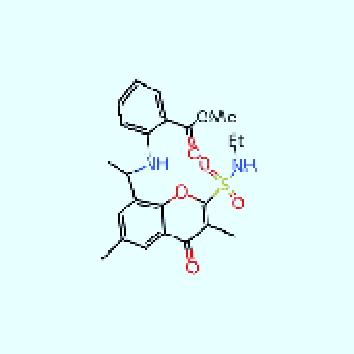 CCNS(=O)(=O)c1oc2c(C(C)Nc3ccccc3C(=O)OC)cc(C)cc2c(=O)c1C